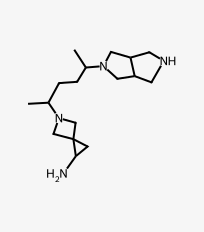 CC(CCC(C)N1CC2(CC2N)C1)N1CC2CNCC2C1